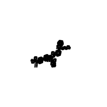 COCCCn1c([C@@H]2CCCN(C(=O)C[C@@H](Cc3ccc(-c4ccc(NC(=O)OC)cc4)cc3)NC(=O)OC(C)(C)C)C2)nc2ccccc21